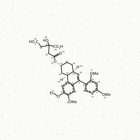 CCOc1cc2c(cc1OC)C(c1cnc(OC)cc1OC)=N[C@@H]1CC[C@@H](OC(=O)CC(O)(CC(=O)O)C(=O)O)C[C@H]21